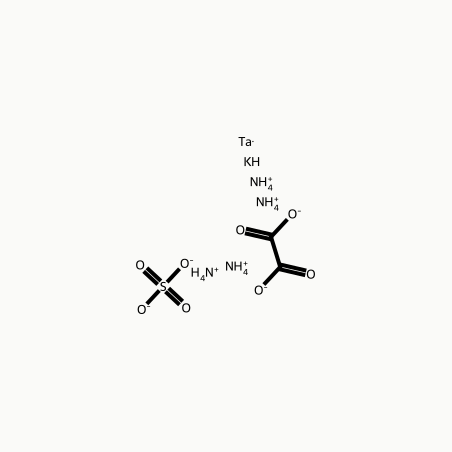 O=C([O-])C(=O)[O-].O=S(=O)([O-])[O-].[KH].[NH4+].[NH4+].[NH4+].[NH4+].[Ta]